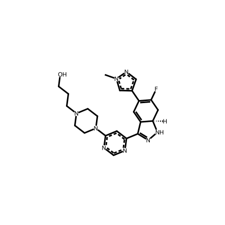 Cn1cc(C2=C(F)C[C@H]3NN=C(c4cc(N5CCN(CCCO)CC5)ncn4)C3=C2)cn1